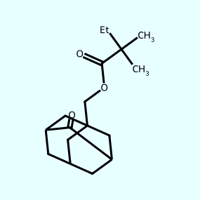 CCC(C)(C)C(=O)OCC12CC3CC(C1)C(=O)C(C3)C2